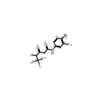 CC(C(=O)CC(=O)Nc1ccc(Br)c(F)c1)C(F)(F)F